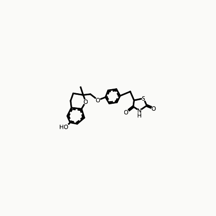 CC1(COc2ccc(CC3SC(=O)NC3=O)cc2)CCc2cc(O)ccc2O1